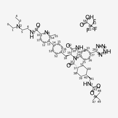 CCN(CC)CCNC(=O)c1ccc(-c2ccc(C[C@@H](C(N)=O)N(c3ccc(-c4nn[nH]n4)cc3)C(=O)[C@H]3CC[C@H](CNC(=O)OC(C)(C)C)CC3)cc2)c(C)n1.O=C(O)C(F)(F)F